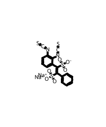 O=S(=O)([O-])C(=C(c1cccc(N=C=S)c1N=C=S)S(=O)(=O)[O-])c1ccccc1.[Na+].[Na+]